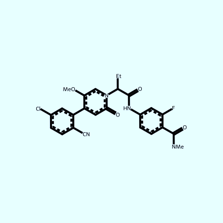 CCC(C(=O)Nc1ccc(C(=O)NC)c(F)c1)n1cc(OC)c(-c2cc(Cl)ccc2C#N)cc1=O